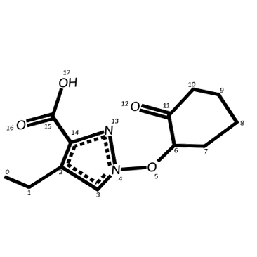 CCc1cn(OC2CCCCC2=O)nc1C(=O)O